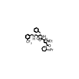 CCC[C@@H]1CCCCN1C(=O)c1cc(C(=O)N[C@@H](Cc2ccccc2)[C@@H](O)CNCc2cccc(C(F)(F)F)c2)nn1CC